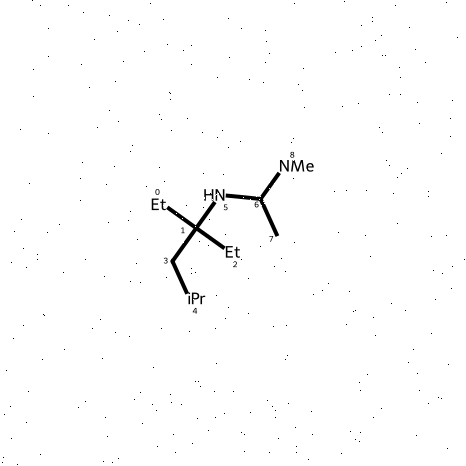 CCC(CC)(CC(C)C)NC(C)NC